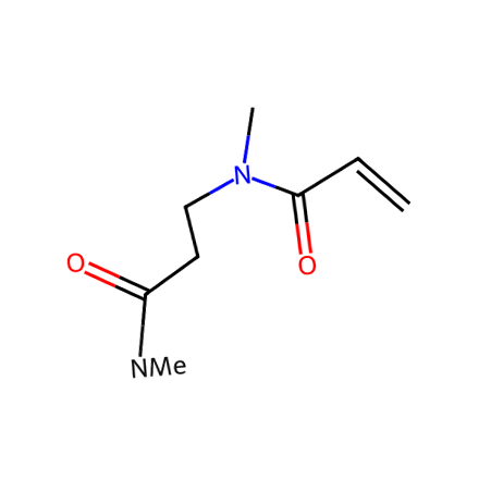 C=CC(=O)N(C)CCC(=O)NC